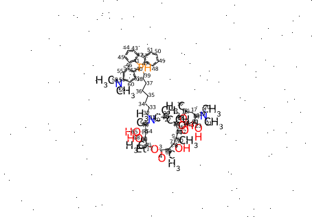 CC[C@H]1OC(=O)[C@H](C)[C@@H](O)[C@H](C)[C@@H](O[C@@H]2O[C@H](C)C[C@H](N(C)C)[C@H]2O)[C@](C)(O)C[C@@H](C)CN(CCCCCCCC[PH](c2ccccc2)(c2ccccc2)c2ccc(N(C)C)cc2)[C@H](C)[C@@H](O)[C@]1(C)O